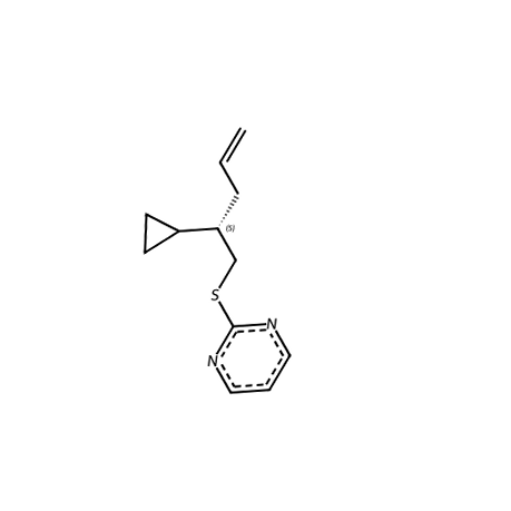 C=CC[C@H](CSc1ncccn1)C1CC1